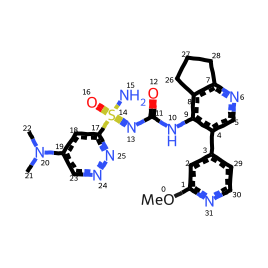 COc1cc(-c2cnc3c(c2NC(=O)N=S(N)(=O)c2cc(N(C)C)cnn2)CCC3)ccn1